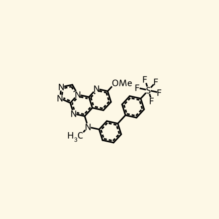 COc1ccc2c(N(C)c3cccc(-c4ccc(S(F)(F)(F)(F)F)cc4)c3)nc3nncn3c2n1